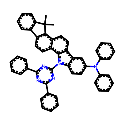 CC1(C)c2ccccc2-c2ccc3c(ccc4c5cc(N(c6ccccc6)c6ccccc6)ccc5n(-c5nc(-c6ccccc6)nc(-c6ccccc6)n5)c34)c21